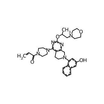 C=CC(=O)N1CCN(c2nc(OC(C)CN3CCOCC3)nc3c2CCN(c2cc(O)cc4ccccc24)C3)CC1